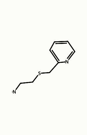 [N]CCSCc1ccccn1